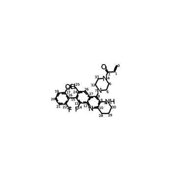 C=CC(=O)N1CCN(c2c3c(nc4c(F)c(-c5c(O)cccc5F)c(Cl)cc24)CCCN3)CC1